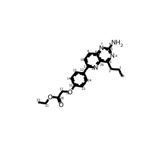 CCCc1nc(N)nc2ccc(-c3ccc(OCC(=O)OCC)cc3)nc12